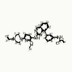 C=CC(=O)Nc1cccc(-c2cccc3cnc(Nc4ccc(N5CCN(CC)CC5)nc4OC)nc23)c1